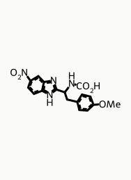 COc1ccc(CC(NC(=O)O)c2nc3cc([N+](=O)[O-])ccc3[nH]2)cc1